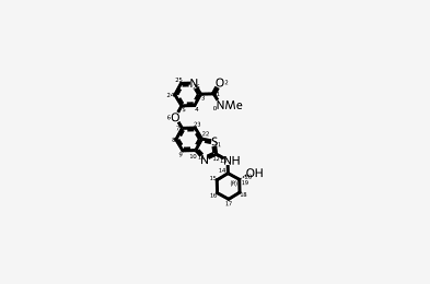 CNC(=O)c1cc(Oc2ccc3nc(NC4CCCC[C@H]4O)sc3c2)ccn1